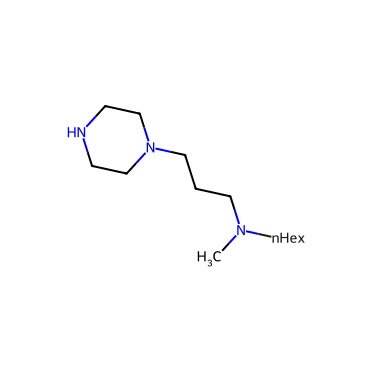 CCCCCCN(C)CCCN1CCNCC1